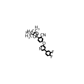 CC1(C)OB(c2ccc(Oc3cncc(-c4ccc(F)c(F)c4)c3)cc2C#N)OC1(C)C